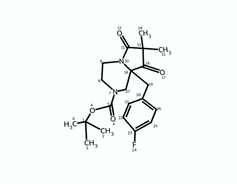 CC(C)(C)OC(=O)N1CCN2C(=O)C(C)(C)C(=O)C2(Cc2ccc(F)cc2)C1